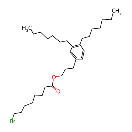 CCCCCCCc1ccc(CCCOC(=O)CCCCCCCBr)cc1CCCCCCC